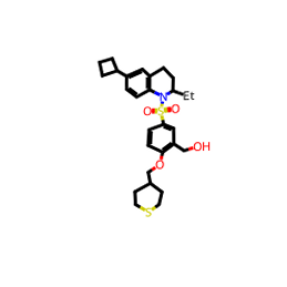 CCC1CCc2cc(C3CCC3)ccc2N1S(=O)(=O)c1ccc(OCC2CCSCC2)c(CO)c1